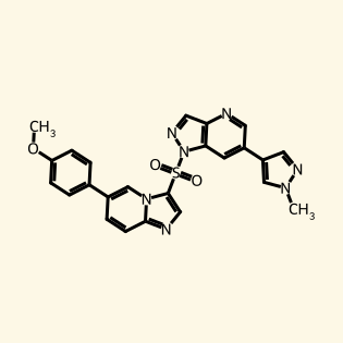 COc1ccc(-c2ccc3ncc(S(=O)(=O)n4ncc5ncc(-c6cnn(C)c6)cc54)n3c2)cc1